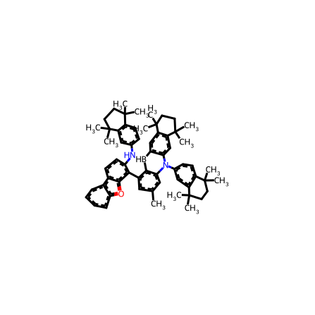 Cc1cc(-c2c(Nc3ccc4c(c3)C(C)(C)CCC4(C)C)ccc3c2oc2ccccc23)c2c(c1)N(c1ccc3c(c1)C(C)(C)CCC3(C)C)c1cc3c(cc1B2)C(C)(C)CCC3(C)C